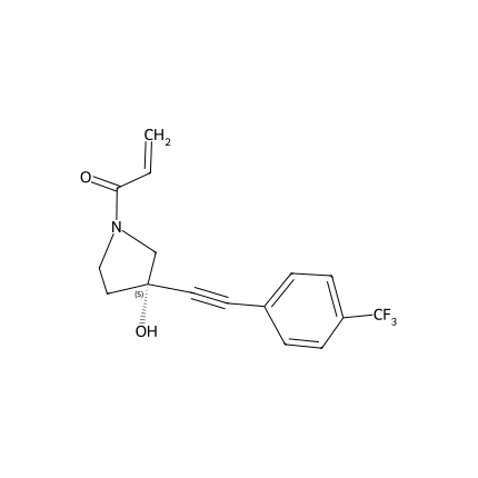 C=CC(=O)N1CC[C@](O)(C#Cc2ccc(C(F)(F)F)cc2)C1